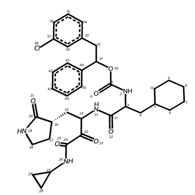 O=C(NC(CC1CCCCC1)C(=O)NC(C[C@@H]1CCNC1=O)C(=O)C(=O)NC1CC1)OC(Cc1cccc(Cl)c1)c1ccccc1